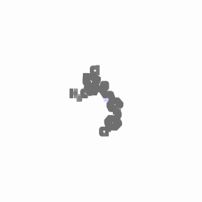 Cn1cc(C(=O)/C=C/C2CCN(Cc3ccc(Cl)cc3)CC2)c2cc(Cl)ccc21